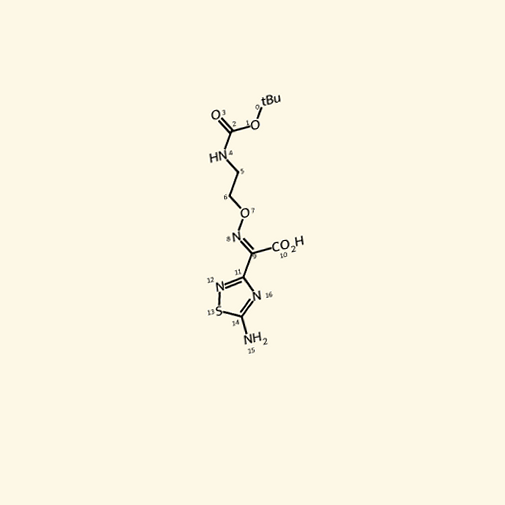 CC(C)(C)OC(=O)NCCON=C(C(=O)O)c1nsc(N)n1